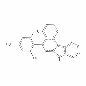 Cc1cc(C)c(-c2cc3[nH]c4ccccc4c3c3ccccc23)c(C)c1